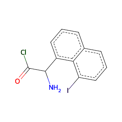 NC(C(=O)Cl)c1cccc2cccc(I)c12